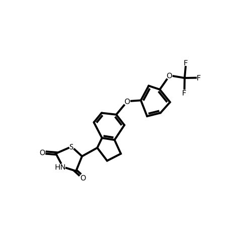 O=C1NC(=O)C(C2CCc3cc(Oc4cccc(OC(F)(F)F)c4)ccc32)S1